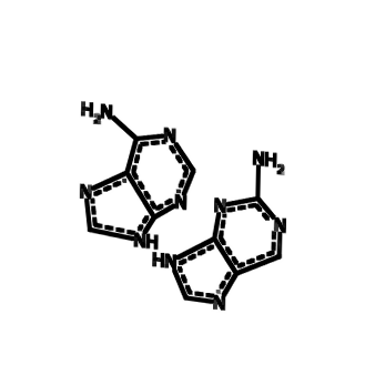 Nc1ncc2nc[nH]c2n1.Nc1ncnc2[nH]cnc12